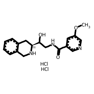 COc1cncc(C(=O)NCC(O)[C@@H]2Cc3ccccc3CN2)c1.Cl.Cl